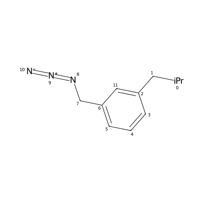 CC(C)Cc1cccc(CN=[N+]=[N-])c1